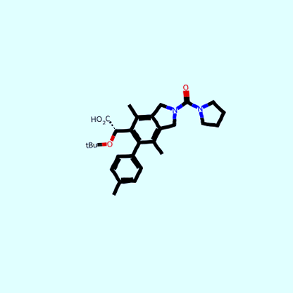 Cc1ccc(-c2c(C)c3c(c(C)c2[C@H](OC(C)(C)C)C(=O)O)CN(C(=O)N2CCCC2)C3)cc1